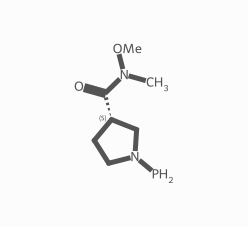 CON(C)C(=O)[C@H]1CCN(P)C1